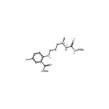 COC(=O)c1cc(F)ccc1OCCC[C@@H](C)NC(=O)OC(C)(C)C